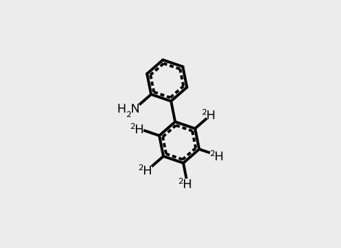 [2H]c1c([2H])c([2H])c(-c2ccccc2N)c([2H])c1[2H]